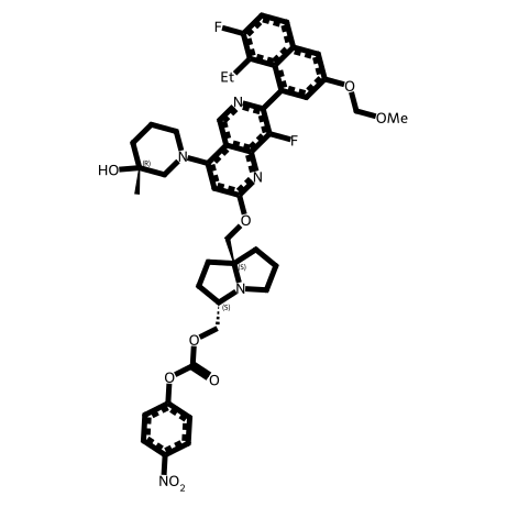 CCc1c(F)ccc2cc(OCOC)cc(-c3ncc4c(N5CCC[C@@](C)(O)C5)cc(OC[C@@]56CCCN5[C@H](COC(=O)Oc5ccc([N+](=O)[O-])cc5)CC6)nc4c3F)c12